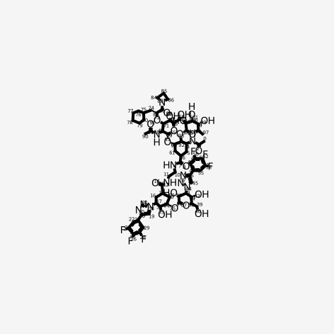 CC(=O)NC1CC(C(=O)NCCNC(=O)C2CC(n3cc(-c4cc(F)c(F)c(F)c4)nn3)C(O)[C@H](O[C@@H]3OC(CO)[C@H](O)C(n4cc(-c5cc(F)c(F)c(F)c5)nn4)C3O)C2)C[C@@H](O[C@@H]2OC(CO)[C@H](O)C(O[C@@H](CC3CCCCC3)C(=O)N3CCC3)C2NC(C)=O)C1O[C@@H]1OC(C)[C@@H](O)[C@H](O)C1O